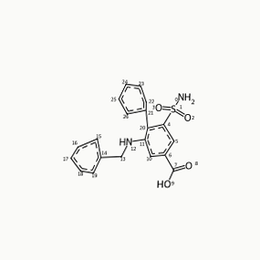 NS(=O)(=O)c1cc(C(=O)O)cc(NCc2ccccc2)c1-c1ccccc1